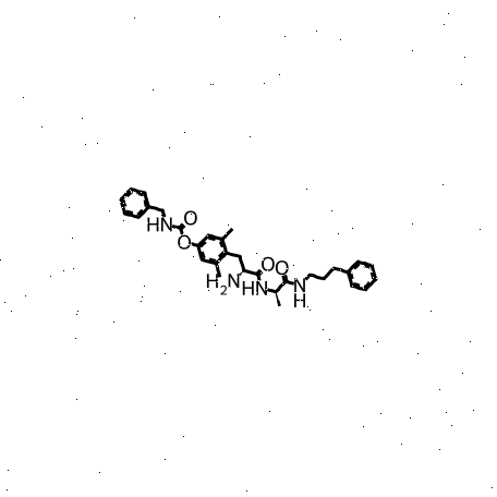 Cc1cc(OC(=O)NCc2ccccc2)cc(C)c1C[C@@H](N)C(=O)N[C@H](C)C(=O)NCCCc1ccccc1